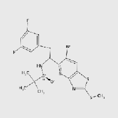 CSc1nc2nc(C(Cc3cc(F)cc(F)c3)N[S@@+]([O-])C(C)(C)C)c(Br)cc2s1